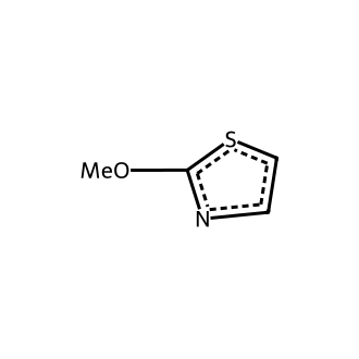 [CH2]Oc1nccs1